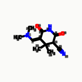 CN(C)C=C1C(=O)NC(=O)C(C#N)C1(C)C